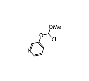 COC(Cl)Oc1cccnc1